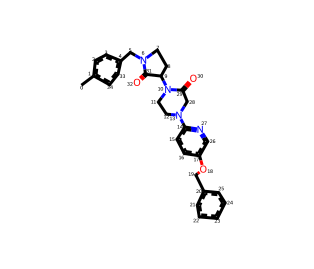 Cc1ccc(CN2CCC(N3CCN(c4ccc(OCc5ccccc5)cn4)CC3=O)C2=O)cc1